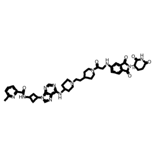 Cc1cccc(C(=O)NC2CC(n3cnc4c(NC5CCN(CCC6CCN(C(=O)CNc7ccc8c(c7)C(=O)N([C@H]7CCC(=O)NC7=O)C8=O)CC6)CC5)ncnc43)C2)n1